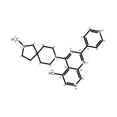 CN1CCC2(CCN(c3nc(-c4ccncc4)nc4cncc(O)c34)CC2)C1